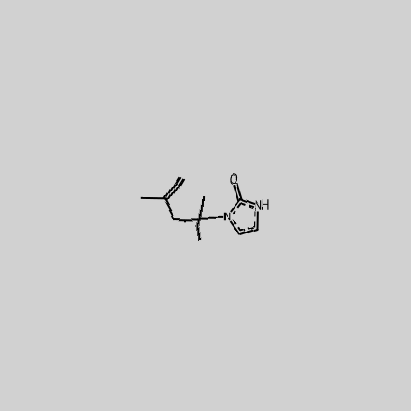 C=C(C)CC(C)(C)n1cc[nH]c1=O